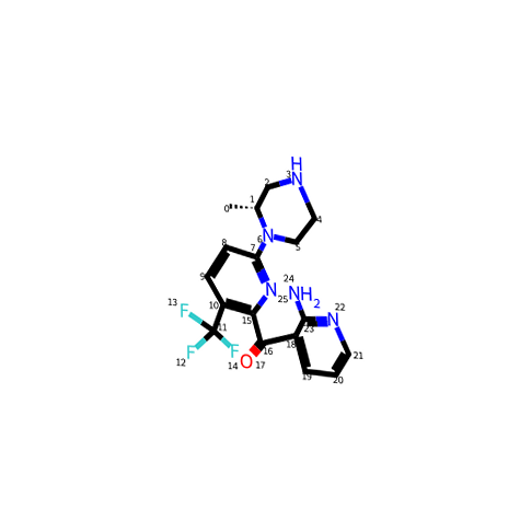 C[C@@H]1CNCCN1c1ccc(C(F)(F)F)c(C(=O)c2cccnc2N)n1